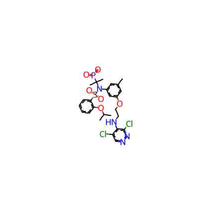 Cc1cc(OCCNc2c(Cl)cnnc2Cl)cc(N(C(C)(C)P(=O)=O)S(=O)(=O)c2ccccc2OC(C)C)c1